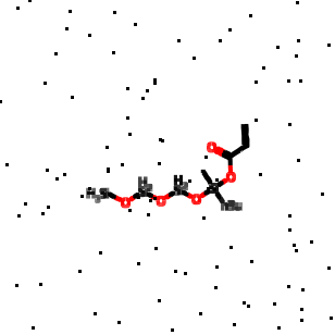 C=CC(=O)O[Si](C)(CCCC)O[SiH2]O[SiH2]O[SiH3]